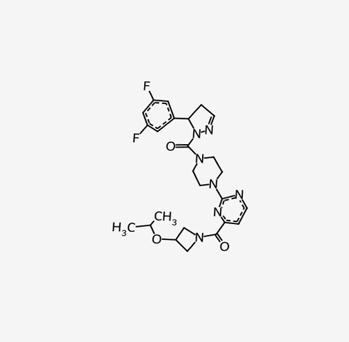 CC(C)OC1CN(C(=O)c2ccnc(N3CCN(C(=O)N4N=CCC4c4cc(F)cc(F)c4)CC3)n2)C1